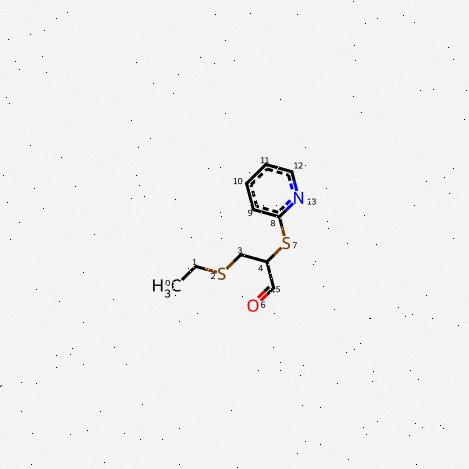 CCSCC([C]=O)Sc1ccccn1